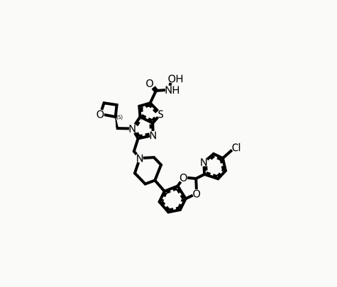 O=C(NO)c1cc2c(nc(CN3CCC(c4cccc5c4OC(c4ccc(Cl)cn4)O5)CC3)n2C[C@@H]2CCO2)s1